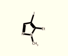 CCc1c(I)cnn1C